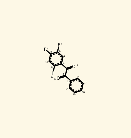 O=C(C(=O)c1cc(F)c(F)cc1F)c1ccccc1